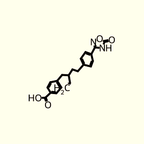 C=CC(CCc1ccc(-c2noc(=O)[nH]2)cc1)Cc1ccc(C(=O)O)cc1